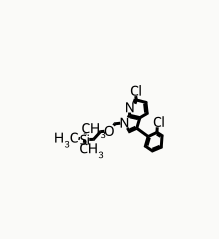 C[Si](C)(C)CCOCn1cc(-c2ccccc2Cl)c2ccc(Cl)nc21